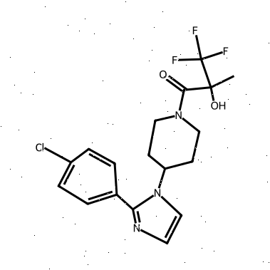 CC(O)(C(=O)N1CCC(n2ccnc2-c2ccc(Cl)cc2)CC1)C(F)(F)F